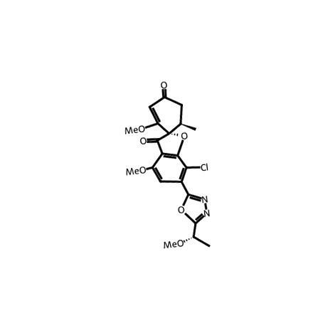 COC1=CC(=O)C[C@@H](C)[C@]12Oc1c(Cl)c(-c3nnc([C@H](C)OC)o3)cc(OC)c1C2=O